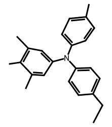 CCc1ccc(N(c2ccc(C)cc2)c2cc(C)c(C)c(C)c2)cc1